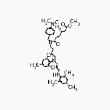 COC(=O)CCCCC(=O)N(CCCCN(CCCNc1c(C)cc(C)cc1C)c1c(C)cc(C)cc1C)Cc1ccc(N(C)C)cc1